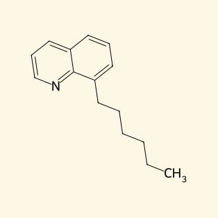 CCCCCCc1cccc2cccnc12